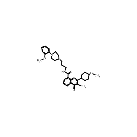 COc1ccccc1N1CCN(CCCNC(=O)c2cccc3c(=O)c(C)c(C4CCC(OC)CC4)oc23)CC1